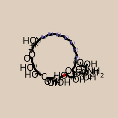 C[C@@H]1[C@H](O)[C@@H](C)/C=C/C=C/C=C/C=C/C=C/C=C/C=C/[C@H](O[C@@H]2O[C@H](C)[C@@H](O)[C@H](N)C2O)CC2O[C@](O)(C[C@@H](O)C[C@@H](O)[C@H](O)CC[C@@H](O)C[C@@H](O)CC(=O)O[C@H]1C)C[C@H](O)[C@H]2C(=O)O